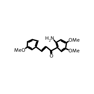 COc1cccc(/C=C/C(=O)c2cc(OC)c(OC)cc2N)c1